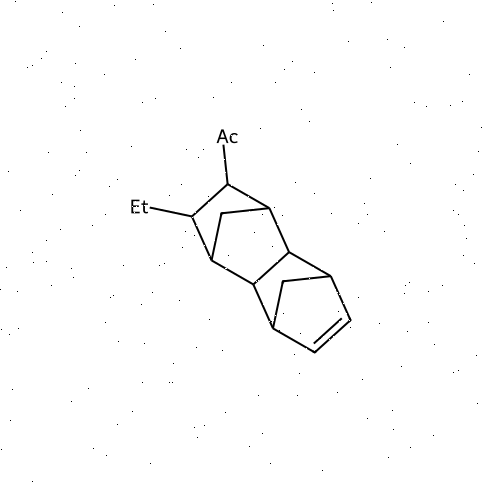 CCC1C2CC(C1C(C)=O)C1C3C=CC(C3)C21